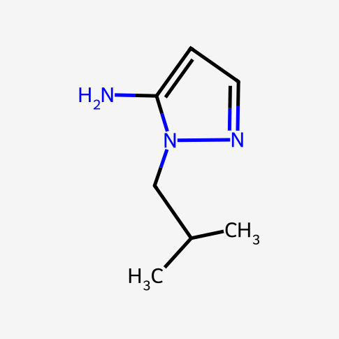 CC(C)Cn1nccc1N